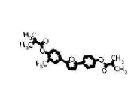 C=C(C)C(=O)Oc1ccc(-c2ccc(-c3ccc(OC(=O)C(=C)C)c(C(F)(F)F)c3)o2)cc1